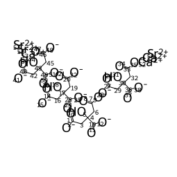 O=C([O-])CC(O)(CC(=O)[O-])C(=O)[O-].O=C([O-])CC(O)(CC(=O)[O-])C(=O)[O-].O=C([O-])CC(O)(CC(=O)[O-])C(=O)[O-].O=C([O-])CC(O)(CC(=O)[O-])C(=O)[O-].[Ca+2].[Ca+2].[Ca+2].[Sr+2].[Sr+2].[Sr+2]